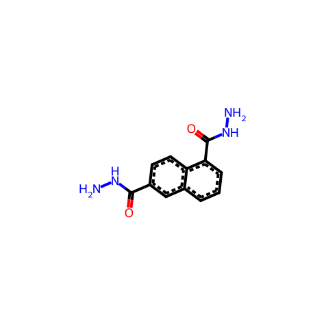 NNC(=O)c1ccc2c(C(=O)NN)cccc2c1